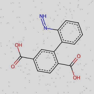 N=Nc1ccccc1-c1cc(C(=O)O)ccc1C(=O)O